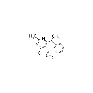 C=Cc1c(Cl)nc(C)nc1N(C)c1ccccc1